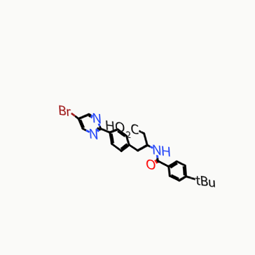 CC(C)(C)c1ccc(C(=O)NC(CC(=O)O)Cc2ccc(-c3ncc(Br)cn3)cc2)cc1